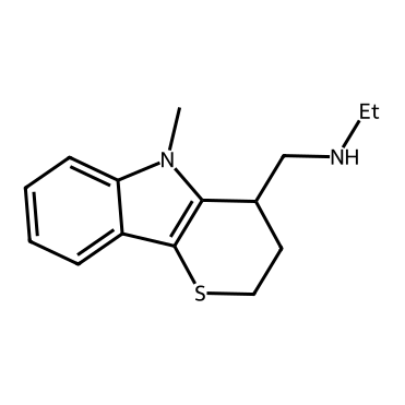 CCNCC1CCSc2c1n(C)c1ccccc21